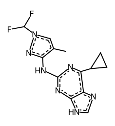 Cc1cn(C(F)F)nc1Nc1nc(C2CC2)c2nc[nH]c2n1